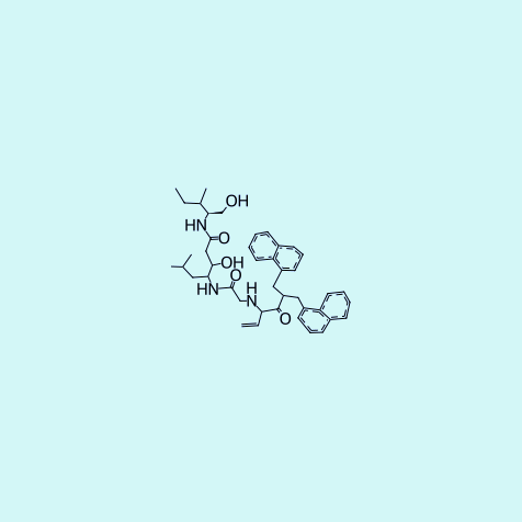 C=CC(NCC(=O)NC(CC(C)C)C(O)CC(=O)N[C@H](CO)C(C)CC)C(=O)C(Cc1cccc2ccccc12)Cc1cccc2ccccc12